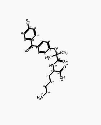 CC(C)(Oc1ccc(C(=O)c2ccc(Cl)cc2)cc1)C(=O)NC(CCCCN)C(=O)O